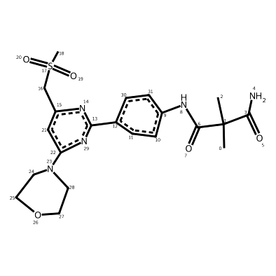 CC(C)(C(N)=O)C(=O)Nc1ccc(-c2nc(CS(C)(=O)=O)cc(N3CCOCC3)n2)cc1